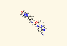 C[C@@H]1CN(c2ccc(C#N)c3nccnc23)C[C@H](CN2Cc3ccc(N4CC5COCC(C4)N5)cc3C2)O1